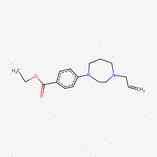 C=CCN1CCCN(c2ccc(C(=O)OCC)cc2)CC1